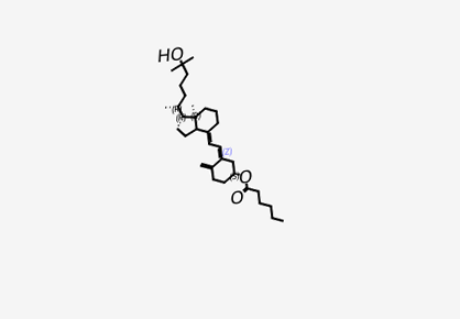 C=C1CC[C@H](OC(=O)CCCCC)C/C1=C/C=C1CCC[C@@]2(C)C1CC[C@@H]2[C@H](C)CCCC(C)(C)O